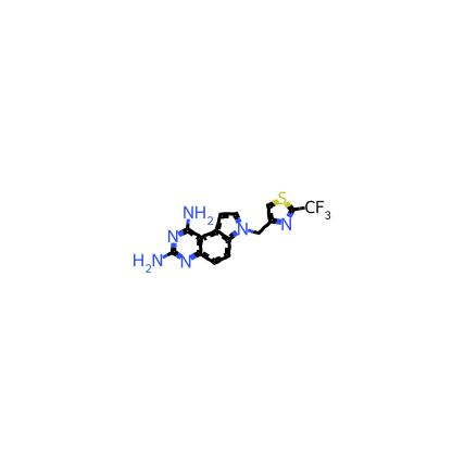 Nc1nc(N)c2c(ccc3c2ccn3Cc2csc(C(F)(F)F)n2)n1